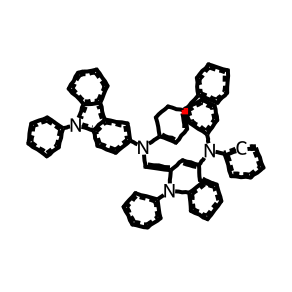 C=C/C(=C\C(=C/N(C1=CC=C(c2ccccc2)CC1)c1ccc2c(c1)c1ccccc1n2-c1ccccc1)N(c1ccccc1)c1ccccc1)N(c1ccccc1)c1ccccc1